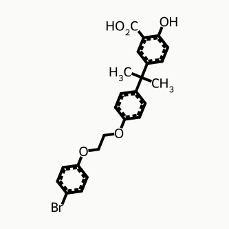 CC(C)(c1ccc(OCCOc2ccc(Br)cc2)cc1)c1ccc(O)c(C(=O)O)c1